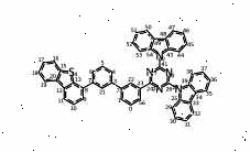 c1cc(-c2cccc(-c3cccc4c3sc3ccccc34)c2)cc(-c2nc(-n3c4ccccc4c4ccccc43)nc(-n3c4ccccc4c4ccccc43)n2)c1